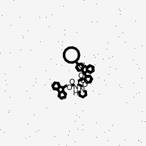 O=C(C[C@H](NC(=O)OCC1c2ccccc2-c2ccccc21)C(=O)N1CCCCC1)OC(c1ccccc1)(c1ccc(C2CCCCCCCCCCCC2)cc1)c1ccccc1Cl